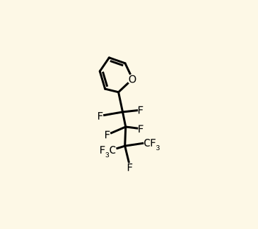 FC(F)(F)C(F)(C(F)(F)F)C(F)(F)C(F)(F)C1C=CC=CO1